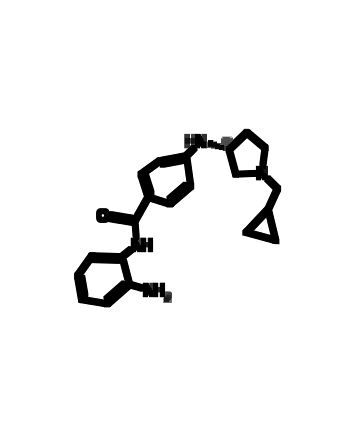 Nc1ccccc1NC(=O)c1ccc(N[C@@H]2CCN(CC3CC3)C2)cc1